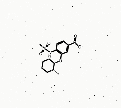 C[C@@H]1CCCC[C@H]1Oc1cc([N+](=O)[O-])ccc1NS(C)(=O)=O